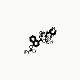 CC(C)C(=O)Oc1ccc(C2OP(=O)(O)C(O)(Cc3cccnc3)P(=O)(O)O2)c2ccccc12